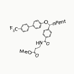 CCCCCC(Oc1ccc(-c2ccc(C(F)(F)F)cc2)cc1)c1ccc(C(=O)NCCC(=O)OC)cc1